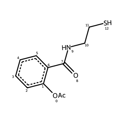 CC(=O)Oc1ccccc1C(=O)NCCS